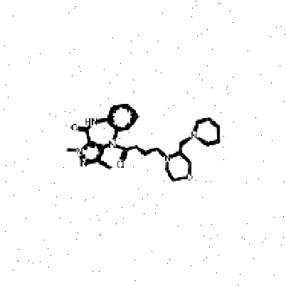 Cc1nn(C)c2c1N(C(=O)CCCN1CCOCC1CN1CCCCC1)c1ccccc1NC2=O